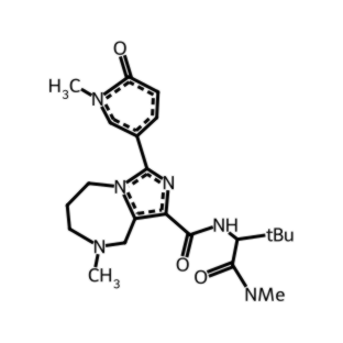 CNC(=O)C(NC(=O)c1nc(-c2ccc(=O)n(C)c2)n2c1CN(C)CCC2)C(C)(C)C